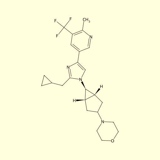 Cc1ncc(-c2cn([C@H]3[C@@H]4CC(N5CCOCC5)C[C@@H]43)c(CC3CC3)n2)cc1C(F)(F)F